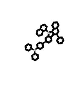 c1ccc(-c2cc3ccccc3c3c2c2ccc(-c4ccc(N(c5ccccc5)c5ccccc5)cc4)cc2n3-c2cccc3ccccc23)cc1